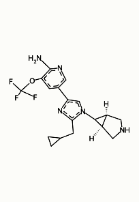 Nc1ncc(-c2cn(C3[C@H]4CNC[C@@H]34)c(CC3CC3)n2)cc1OC(F)(F)F